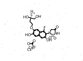 C[C@](O)(CO)CCOc1cc2c(F)c(N3CC(=O)NS3(=O)=O)c(O)cc2cc1O.O=C([O-])[O-].[Cs+].[Cs+]